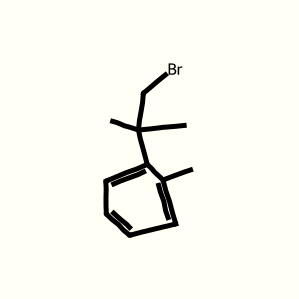 Cc1ccccc1C(C)(C)CBr